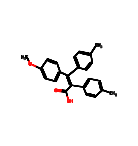 COc1ccc(/C(=C(\C(=O)O)c2ccc(C)cc2)c2ccc(C)cc2)cc1